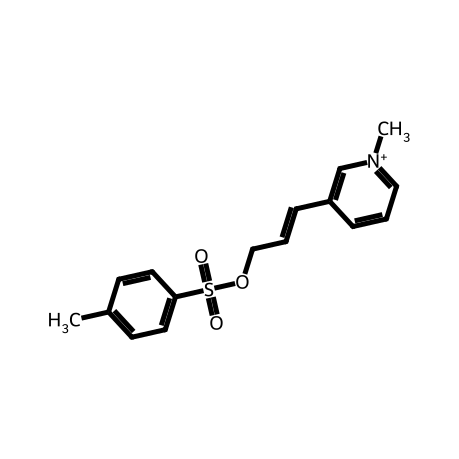 Cc1ccc(S(=O)(=O)OCC=Cc2ccc[n+](C)c2)cc1